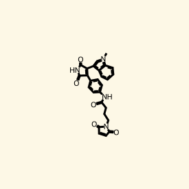 Cn1cc(C2=C(c3ccc(NC(=O)CCCN4C(=O)C=CC4=O)cc3)C(=O)NC2=O)c2ccccc21